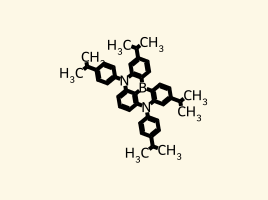 CC(C)c1ccc(N2c3cc(C(C)C)ccc3B3c4ccc(C(C)C)cc4N(c4ccc(C(C)C)cc4)c4cccc2c43)cc1